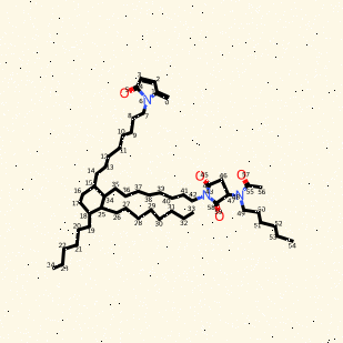 C=C1C=CC(=O)N1CCCCCCCCC1CCC(CCCCCC)C(CCCCCCCC)C1CCCCCCCCN1C(=O)CC(N(CCCCCC)C(C)=O)C1=O